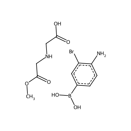 COC(=O)CNCC(=O)O.Nc1ccc(B(O)O)cc1Br